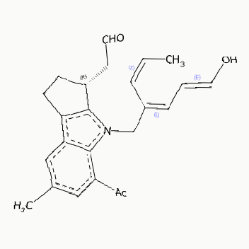 C\C=C/C(=C\C=C\O)Cn1c2c(c3cc(C)cc(C(C)=O)c31)CC[C@@H]2CC=O